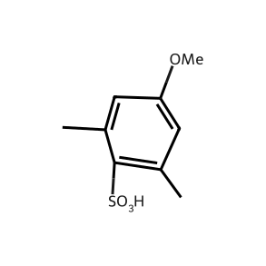 COc1cc(C)c(S(=O)(=O)O)c(C)c1